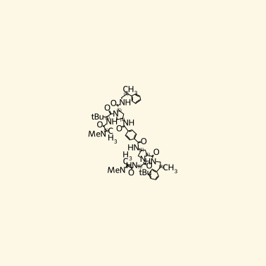 CN[C@@H](C)C(=O)N[C@H](C(=O)N1C[C@@H](NC(=O)c2ccc(C(=O)N[C@H]3C[C@@H](C(=O)NC[C@H](C)c4ccccc4)N(C(=O)[C@@H](NC(=O)[C@H](C)NC)C(C)(C)C)C3)cc2)C[C@H]1C(=O)NC[C@@H](C)c1ccccc1)C(C)(C)C